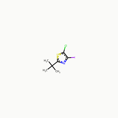 CC(C)(C)c1nc(I)c(Cl)s1